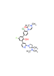 CN(C)/C=C\N(C=O)c1ccc(-c2cc(F)cc(-c3ccnc(N4CCC(C)(N(C)C)C4)c3)c2O)cc1Cl